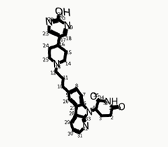 O=C1CCC(n2c3ccc(CCCN4CCC(c5cnc(O)nc5)CC4)cc3c3cccnc32)C(=O)N1